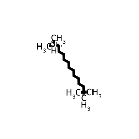 C[SiH](C)[CH]CCCCCCCCCCC(C)(C)C